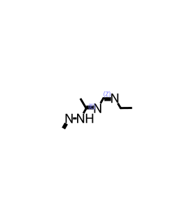 C=NN/C(C)=N/C=N\CC